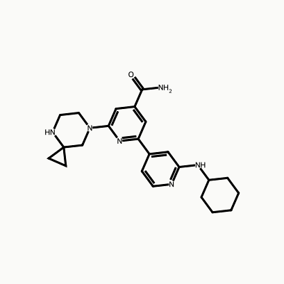 NC(=O)c1cc(-c2ccnc(NC3CCCCC3)c2)nc(N2CCNC3(CC3)C2)c1